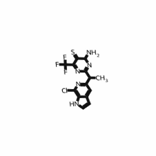 CC(C1=NC(N)C(=S)C(C(F)(F)F)=N1)c1cc2cc[nH]c2c(Cl)n1